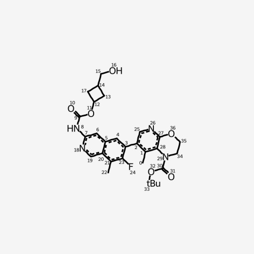 Cc1c(-c2cc3cc(NC(=O)OC4CC(CO)C4)ncc3c(C)c2F)cnc2c1N(C(=O)OC(C)(C)C)CCO2